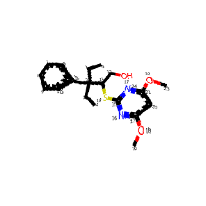 CCC(CC)(c1ccccc1)C(CO)Sc1nc(OC)cc(OC)n1